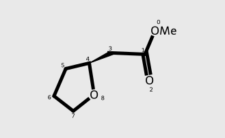 COC(=O)C[C@@H]1CCCO1